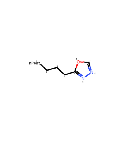 CCCCCCCCc1nnco1